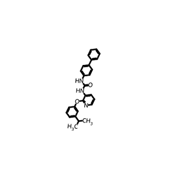 CC(C)c1cccc(Oc2ncccc2NC(=O)Nc2ccc(-c3ccccc3)cc2)c1